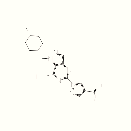 C[C@H]1CC[C@H](Cn2ncc3nc(-n4cc(C(=O)O)cn4)nc(O)c32)CC1